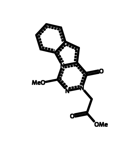 COC(=O)Cn1nc(OC)n2c(cc3ccccc32)c1=O